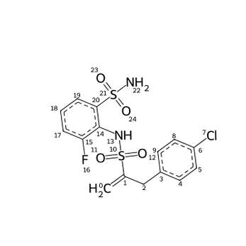 C=C(Cc1ccc(Cl)cc1)S(=O)(=O)Nc1c(F)cccc1S(N)(=O)=O